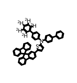 [2H]c1c([2H])c([2H])c(-c2ccc(N(c3ccc(-c4ccccc4)cc3)c3ccc(-c4ccc5c(c4)C4(c6ccccc6-c6ccccc64)c4ccccc4-5)s3)cc2)c([2H])c1[2H]